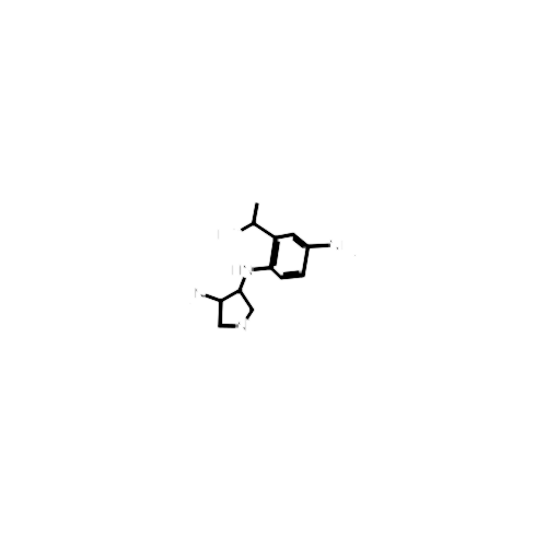 CC(O)c1cc(N)ccc1NC1CNCC1N